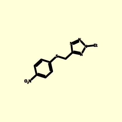 CCn1nnc(CSc2ccc([N+](=O)[O-])cc2)n1